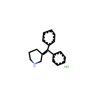 Cl.c1ccc(C(=C2CCCNC2)c2ccccc2)cc1